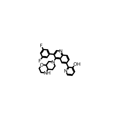 Oc1cccnc1-c1ccc2ncc(-c3cc(F)cc(F)c3)c(N3CCC4NCCOC4C3)c2c1